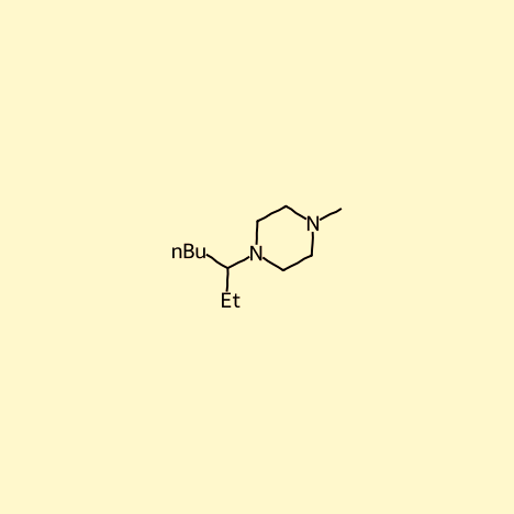 CCCCC(CC)N1CCN(C)CC1